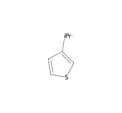 C[C](C)c1ccsc1